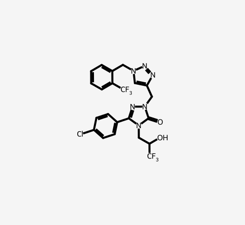 O=c1n(Cc2cn(Cc3ccccc3C(F)(F)F)nn2)nc(-c2ccc(Cl)cc2)n1CC(O)C(F)(F)F